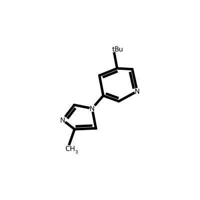 Cc1cn(-c2cncc(C(C)(C)C)c2)cn1